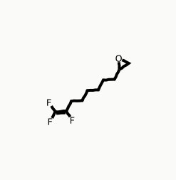 FC(F)=C(F)CCCCCCC1CO1